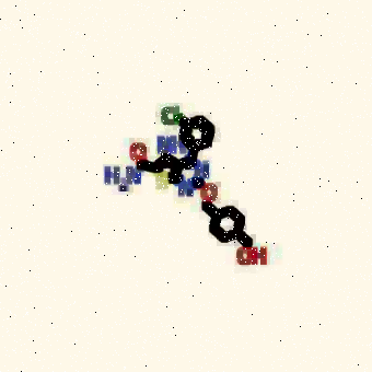 NC(=O)c1sc2nc(OCC3CCC(CO)CC3)nc(-c3cccc(Cl)c3)c2c1N